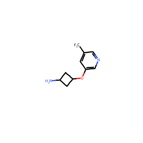 NC1CC(Oc2cncc(C(F)(F)F)c2)C1